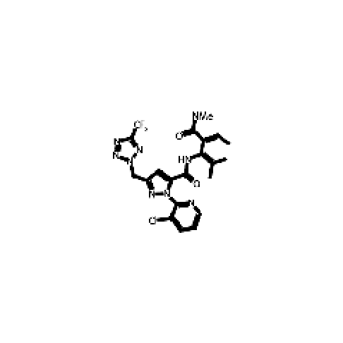 C/C=C(/C(=O)NC)C(NC(=O)c1cc(Cn2nnc(C(F)(F)F)n2)nn1-c1ncccc1Cl)=C(C)C